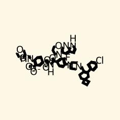 O=C(NS(=O)(=O)c1ccc(NC[C@H]2COCCO2)c([N+](=O)[O-])c1)c1ccc(N2CCN(CC3=C(c4ccc(Cl)cc4)CC4(CCC4)CC3)CC2)c(F)c1N1CCCOc2nc3[nH]ccc3cc21